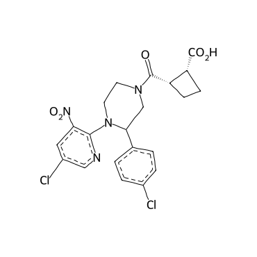 O=C(O)[C@@H]1CC[C@@H]1C(=O)N1CCN(c2ncc(Cl)cc2[N+](=O)[O-])C(c2ccc(Cl)cc2)C1